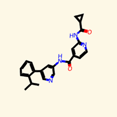 CC(C)c1ccccc1-c1cncc(NC(=O)c2ccnc(NC(=O)C3CC3)c2)c1